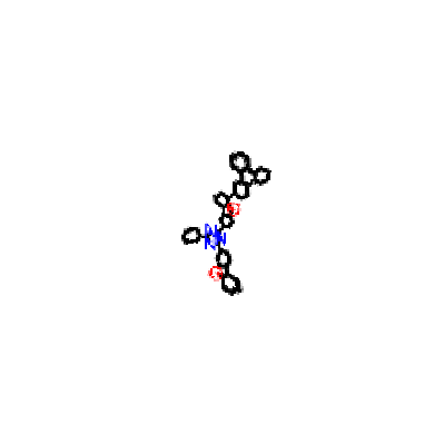 c1ccc(-c2nc(-c3ccc4c(c3)oc3ccccc34)nc(-c3ccc4oc5c(-c6ccc7c8ccccc8c8ccccc8c7c6)cccc5c4c3)n2)cc1